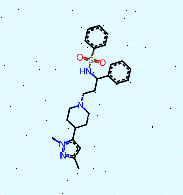 Cc1cc(C2CCN(CCC(NS(=O)(=O)c3ccccc3)c3ccccc3)CC2)n(C)n1